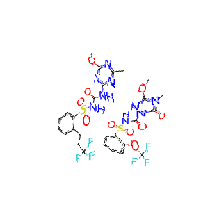 COc1nc(C)nc(NC(=O)NS(=O)(=O)c2ccccc2CCC(F)(F)F)n1.COc1nn(C(=O)NS(=O)(=O)c2ccccc2OC(F)(F)F)c(=O)n1C